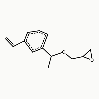 C=Cc1cccc(C(C)OCC2CO2)c1